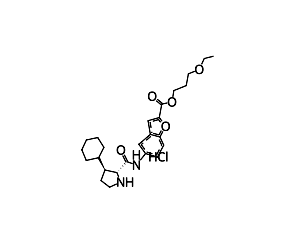 CCOCCCOC(=O)c1cc2cc(NC(=O)[C@@H]3NCC[C@H]3C3CCCCC3)ccc2o1.Cl